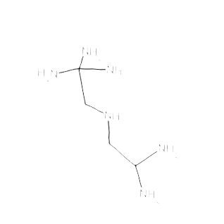 NC(N)CNCC(N)(N)N